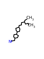 CCCC(CCC)CCCC1CCC(C2CCC(CC#N)CC2)CC1